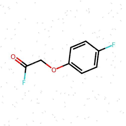 O=C(F)COc1ccc(F)cc1